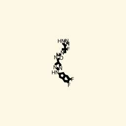 Fc1cc2c(cc1F)CC(Nc1ncc(-c3nnc(N4CC(F)(c5c[nH]nn5)C4)o3)cn1)C2